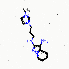 C[n+]1ccn(CCCNc2nn3ccccc3c2N)c1